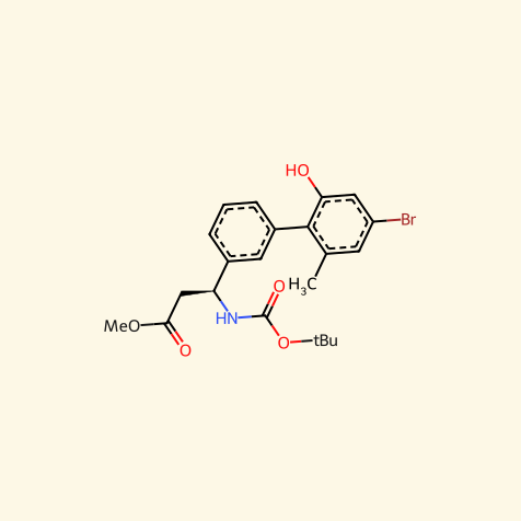 COC(=O)C[C@H](NC(=O)OC(C)(C)C)c1cccc(-c2c(C)cc(Br)cc2O)c1